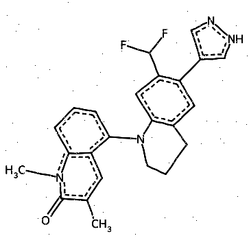 Cc1cc2c(N3CCCc4cc(-c5cn[nH]c5)c(C(F)F)cc43)cccc2n(C)c1=O